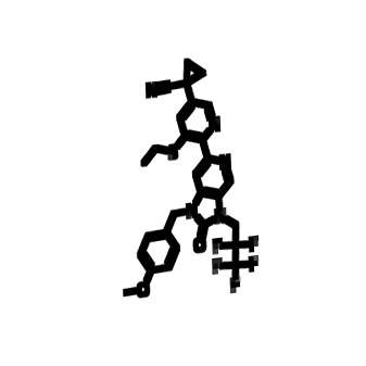 CCSc1cc(C2(C#N)CC2)cnc1-c1cc2c(cn1)n(CC(F)(F)C(F)(F)F)c(=O)n2Cc1ccc(OC)cc1